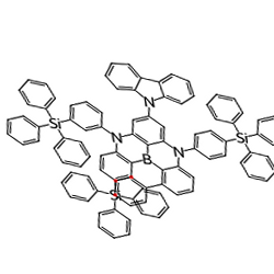 c1ccc(-c2cccc3c2B2c4cc([Si](c5ccccc5)(c5ccccc5)c5ccccc5)ccc4N(c4cccc([Si](c5ccccc5)(c5ccccc5)c5ccccc5)c4)c4cc(-n5c6ccccc6c6ccccc65)cc(c42)N3c2ccc([Si](c3ccccc3)(c3ccccc3)c3ccccc3)cc2)cc1